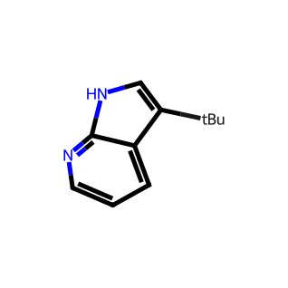 CC(C)(C)c1c[nH]c2ncccc12